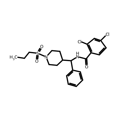 CCCS(=O)(=O)N1CCC(C(NC(=O)c2ccc(Cl)cc2Cl)c2ccccc2)CC1